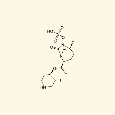 O=C(O[C@@H]1CCNC[C@H]1F)[C@@H]1CC[C@@H]2CN1C(=O)N2OS(=O)(=O)O